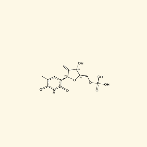 C=C1[C@H](n2cc(C)c(=O)[nH]c2=O)O[C@H](COP(=O)(O)O)[C@H]1O